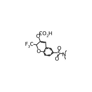 CN(C)S(=O)(=O)c1ccc2c(c1)C=C(OC(=O)O)C(C(F)(F)F)O2